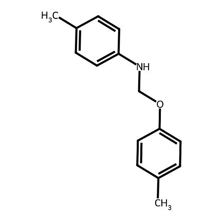 Cc1ccc(NCOc2ccc(C)cc2)cc1